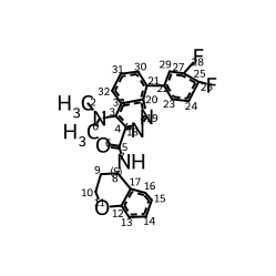 CN(C)c1c(C(=O)N[C@H]2CCOc3ccccc32)nnc2c(-c3ccc(F)c(F)c3)cccc12